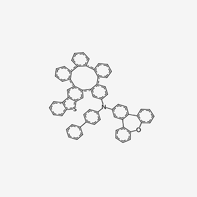 c1ccc(-c2ccc(N(c3ccc4c(c3)-c3ccccc3Oc3ccccc3-4)c3ccc4c5ccccc5c5ccccc5c5ccccc5c5cc6c(cc5c4c3)sc3ccccc36)cc2)cc1